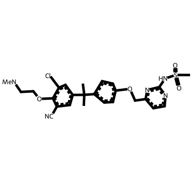 CNCCOc1c(Cl)cc(C(C)(C)c2ccc(OCc3ccnc(NS(C)(=O)=O)n3)cc2)cc1C#N